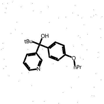 CCCOc1ccc(C(O)(c2cccnc2)C(C)(C)C)cc1